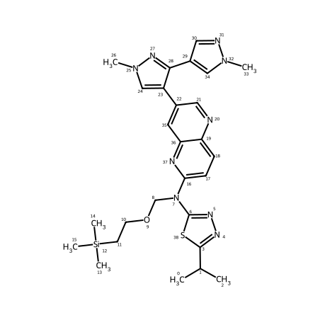 CC(C)c1nnc(N(COCC[Si](C)(C)C)c2ccc3ncc(-c4cn(C)nc4-c4cnn(C)c4)cc3n2)s1